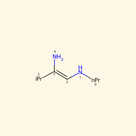 CCCN/C=C(\N)C(C)C